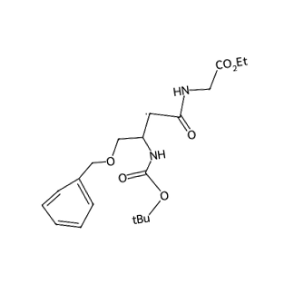 CCOC(=O)CNC(=O)[CH]C(COCc1ccccc1)NC(=O)OC(C)(C)C